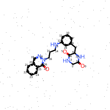 O=C1CNC(=O)C(Cc2cccc(NCCCn3ncc4ccccc4c3=O)c2)N1